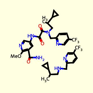 CC(CNCc1ccc(C(F)(F)F)cn1)C1CC1.COc1ncc(NC(=O)C(=O)N(Cc2ccc(C(F)(F)F)cn2)CC(C)C2CC2)cc1C(N)=O